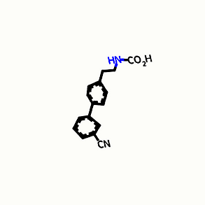 N#Cc1cccc(-c2ccc(CCNC(=O)O)cc2)c1